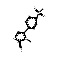 Cn1c(-c2ccc(S(C)(=O)=O)cc2)coc1=S